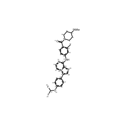 CNC1CCN(C(=O)c2ccc(Nc3nccn4c(-c5ccc(OC(F)F)cc5)cnc34)cc2C)CC1